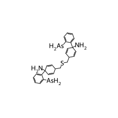 NC1(c2ccccc2[AsH2])C=CC(CSCC2C=CC(N)(c3ccccc3[AsH2])C=C2)C=C1